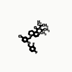 CC(C)N(C(=O)c1nccc2c1CCCN2Cc1cc(Cl)ccc1OCc1ccc(F)cc1F)C(C)C